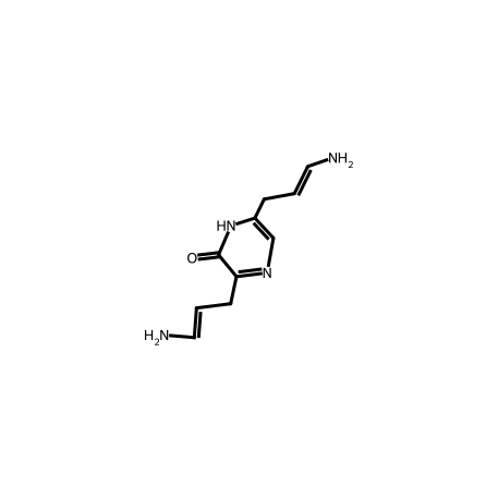 NC=CCc1cnc(CC=CN)c(=O)[nH]1